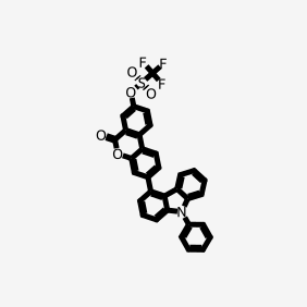 O=c1oc2cc(-c3cccc4c3c3ccccc3n4-c3ccccc3)ccc2c2ccc(OS(=O)(=O)C(F)(F)F)cc12